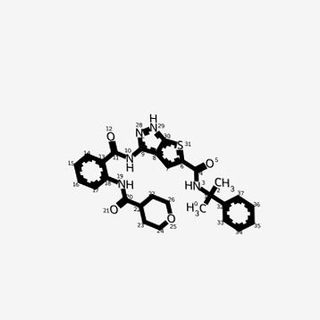 CC(C)(NC(=O)c1cc2c(NC(=O)c3ccccc3NC(=O)C3CCOCC3)n[nH]c2s1)c1ccccc1